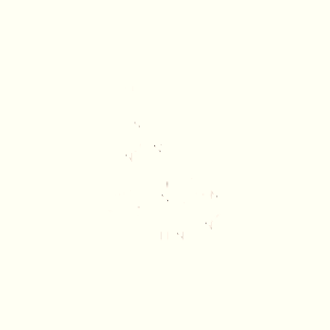 Cn1c(N2CCOCC2)nc(-c2ccccc2)c1-c1nc2c(N)ncnc2s1